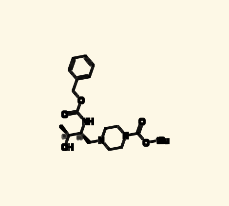 C[C@H](O)[C@H](CN1CCN(C(=O)OC(C)(C)C)CC1)NC(=O)OCc1ccccc1